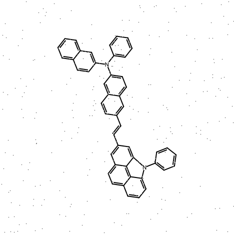 C(=C\c1cc2ccc3cccc4c3c2c(c1)n4-c1ccccc1)/c1ccc2cc(N(c3ccccc3)c3ccc4ccccc4c3)ccc2c1